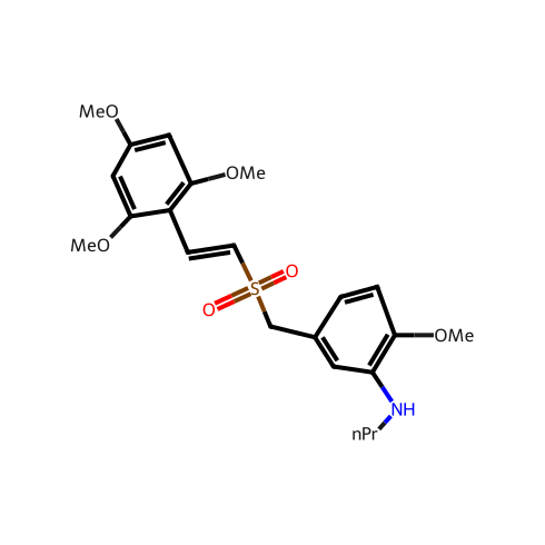 CCCNc1cc(CS(=O)(=O)/C=C/c2c(OC)cc(OC)cc2OC)ccc1OC